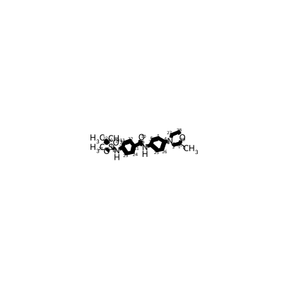 C[C@@H]1CN(c2ccc(NC(=O)c3ccc(NS(=O)(=O)C(C)(C)C)cc3)cc2)CCO1